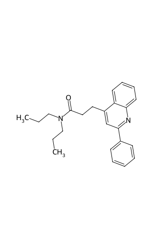 CCCN(CCC)C(=O)CCc1cc(-c2ccccc2)nc2ccccc12